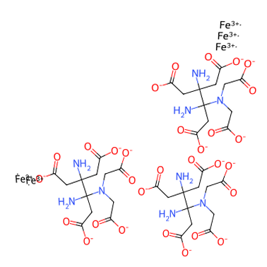 NC(CC(=O)[O-])(CC(=O)[O-])C(N)(CC(=O)[O-])N(CC(=O)[O-])CC(=O)[O-].NC(CC(=O)[O-])(CC(=O)[O-])C(N)(CC(=O)[O-])N(CC(=O)[O-])CC(=O)[O-].NC(CC(=O)[O-])(CC(=O)[O-])C(N)(CC(=O)[O-])N(CC(=O)[O-])CC(=O)[O-].[Fe+3].[Fe+3].[Fe+3].[Fe+3].[Fe+3]